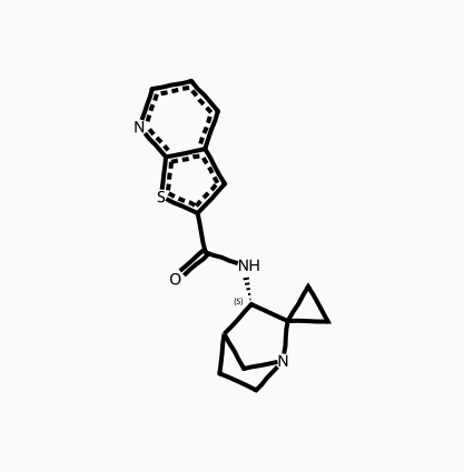 O=C(N[C@H]1C2CCN(C2)C12CC2)c1cc2cccnc2s1